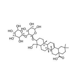 CC1(C)CCC2(C(=O)O)CC[C@@]3(C)C(=CCC4[C@@]5(C)CCC(O[C@@H]6OC(O)[C@@H](O)[C@@H](O)C6O[C@@H]6OC(O)[C@@H](O)[C@@H](O)C6O)C(C)(CO)C5CC[C@]43C)C2C1